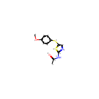 COc1ccc(Sc2cnc(NC(C)=O)s2)cc1